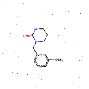 COc1cccc(CN2CCC[N]C2=O)c1